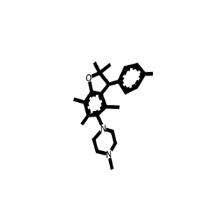 Cc1ccc(C2c3c(C)c(N4CCN(C)CC4)c(C)c(C)c3OC2(C)C)cc1